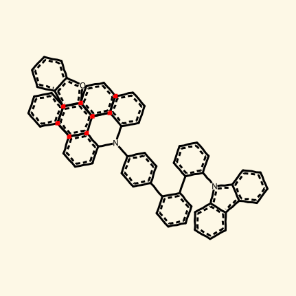 c1ccc(-c2ccccc2-c2cccc(N(c3ccc(-c4ccccc4-c4ccccc4-n4c5ccccc5c5ccccc54)cc3)c3ccccc3-c3cccc4c3oc3ccccc34)c2)cc1